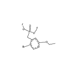 CCOc1ccc(Br)c(CP(=O)(OF)OF)c1